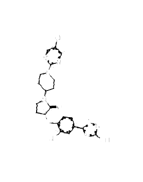 Cc1nnc(-c2ccc(O[C@H]3CCN(C4CCN(c5ncc(Cl)cn5)CC4)C3=O)c(F)c2)o1